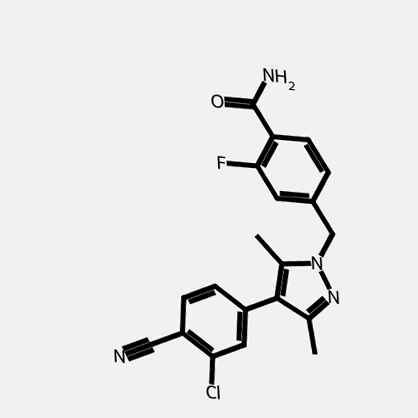 Cc1nn(Cc2ccc(C(N)=O)c(F)c2)c(C)c1-c1ccc(C#N)c(Cl)c1